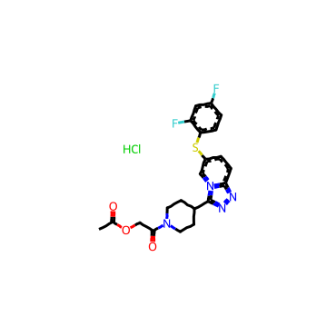 CC(=O)OCC(=O)N1CCC(c2nnc3ccc(Sc4ccc(F)cc4F)cn23)CC1.Cl